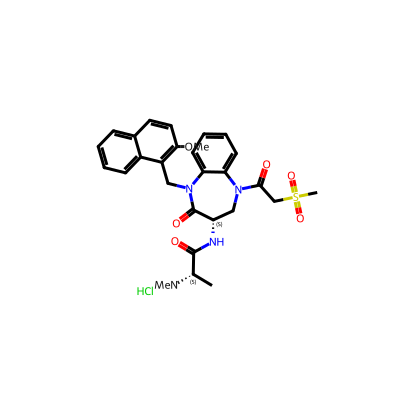 CN[C@@H](C)C(=O)N[C@H]1CN(C(=O)CS(C)(=O)=O)c2ccccc2N(Cc2c(OC)ccc3ccccc23)C1=O.Cl